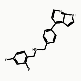 Fc1ccc(CNCc2ccc(-c3ccnc4[nH]ccc34)cc2)c(F)c1